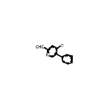 O=Cc1cc(Cl)c(-c2ccccc2)cn1